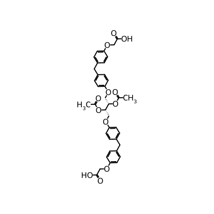 CC(=O)O[C@@H](COc1ccc(Cc2ccc(OCC(=O)O)cc2)cc1)[C@H](COc1ccc(Cc2ccc(OCC(=O)O)cc2)cc1)OC(C)=O